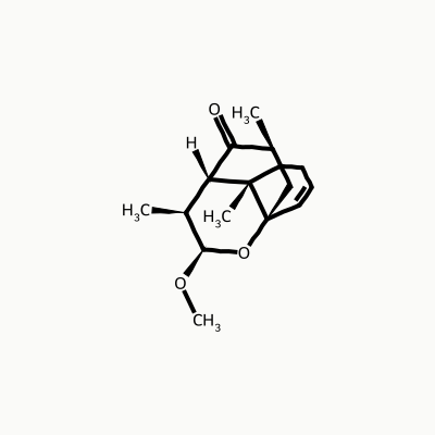 CO[C@@H]1O[C@@]23C=CC[C@H](C)[C@@]2(C)[C@@H](C(=O)CC3)[C@@H]1C